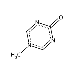 Cn1cnc(=O)nc1